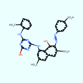 O=C(O)c1ccccc1Nc1nc(O)nc(Nc2cc(S(=O)(=O)O)cc3cc(S(=O)(=O)O)c(/N=N/c4ccc(S(=O)(=O)O)cc4)c(O)c23)n1